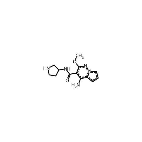 COc1nn2cccc2c(N)c1C(=O)NC1CCNC1